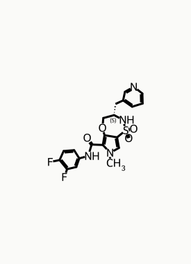 Cn1cc2c(c1C(=O)Nc1ccc(F)c(F)c1)OC[C@H](Cc1cccnc1)NS2(=O)=O